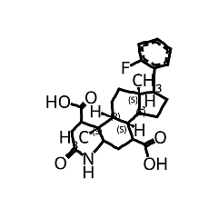 C[C@]12C(CC(C(=O)O)[C@@H]3[C@H]1CC[C@]1(C)C(c4ccccc4F)CC[C@@H]31)NC(=O)CC2C(=O)O